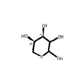 OC1OC[C@@H](O)[C@@H](O)C1O